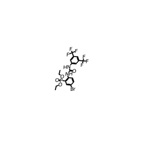 CCOP(=O)(OCC)c1cc(Br)ccc1NC(=O)Nc1cc(C(F)(F)F)cc(C(F)(F)F)c1